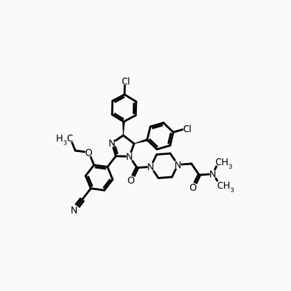 CCOc1cc(C#N)ccc1C1=N[C@@H](c2ccc(Cl)cc2)[C@@H](c2ccc(Cl)cc2)N1C(=O)N1CCN(CC(=O)N(C)C)CC1